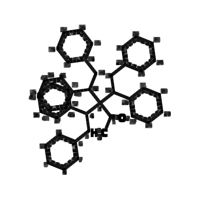 CC(=O)C(C(Cc1ccccc1)c1ccccc1)(C(Cc1ccccc1)c1ccccc1)C(Cc1ccccc1)c1ccccc1